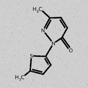 Cc1ccc(=O)n(-c2ccc(C)s2)n1